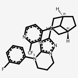 Fc1cccc(N2CCCn3nc(NC4[C@@H]5CC[C@@H]4CN(c4ccnc(C(F)(F)F)c4)C5)nc32)c1